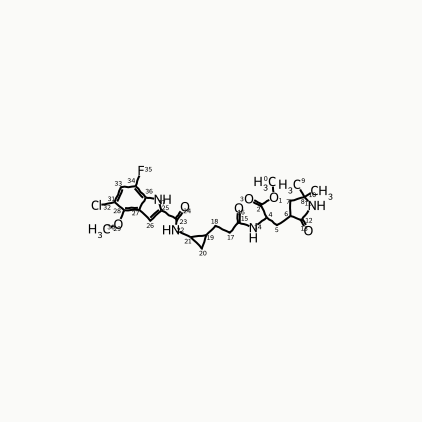 COC(=O)C(CC1CC(C)(C)NC1=O)NC(=O)CCC1CC1NC(=O)c1cc2c(OC)c(Cl)cc(F)c2[nH]1